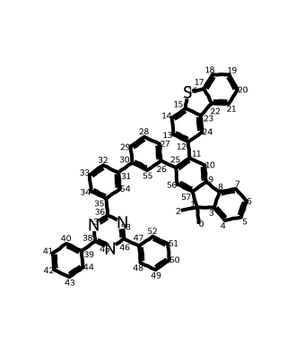 CC1(C)c2ccccc2-c2cc(-c3ccc4sc5ccccc5c4c3)c(-c3cccc(-c4cccc(-c5nc(-c6ccccc6)nc(-c6ccccc6)n5)c4)c3)cc21